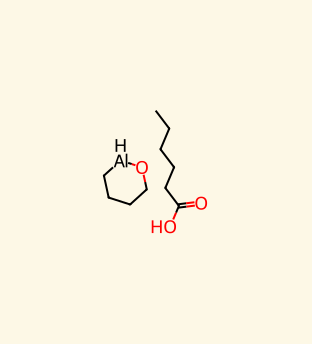 C1C[CH2][AlH][O]C1.CCCCCC(=O)O